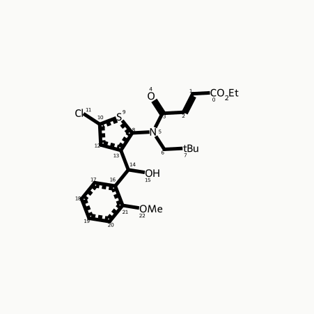 CCOC(=O)/C=C/C(=O)N(CC(C)(C)C)c1sc(Cl)cc1C(O)c1ccccc1OC